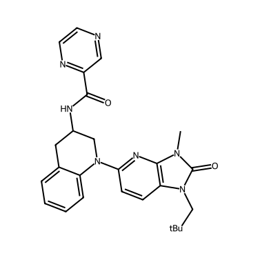 Cn1c(=O)n(CC(C)(C)C)c2ccc(N3CC(NC(=O)c4cnccn4)Cc4ccccc43)nc21